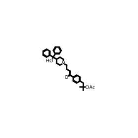 CC(=O)OC(C)(C)Cc1ccc(C(=O)CCCN2CCC(C(O)(c3ccccc3)c3ccccc3)CC2)cc1